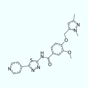 COc1cc(C(=O)Nc2nnc(-c3ccncc3)s2)ccc1OCc1cc(C)nn1C